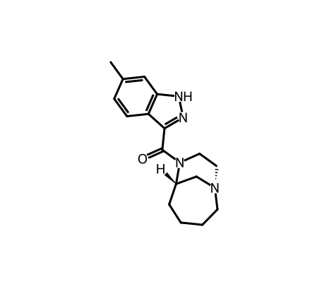 Cc1ccc2c(C(=O)N3CC[N@]4CCCC[C@H]3C4)n[nH]c2c1